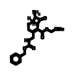 COCOC(=O)C1=C(CNC(=O)OCc2ccccc2)CS[C@H]2C(N)C(=O)N12